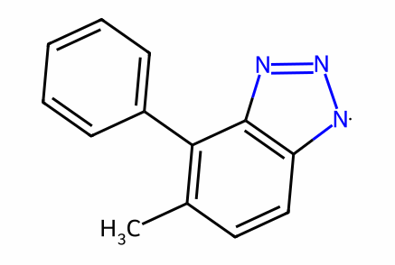 Cc1ccc2c(c1-c1ccccc1)N=N[N]2